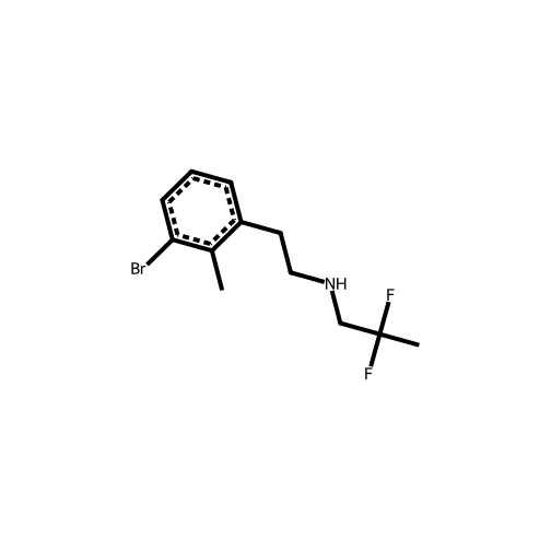 Cc1c(Br)cccc1CCNCC(C)(F)F